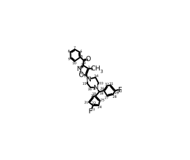 Cc1c(C(=O)c2ccccc2)noc1N1CCN(C(c2ccc(F)cc2)c2ccc(F)cc2)CC1